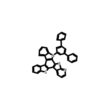 c1ccc(-c2cc(-c3ccccc3)cc(-n3c4ccccc4c4c5c6ccccc6sc5c5c6cccnc6sc5c43)c2)cc1